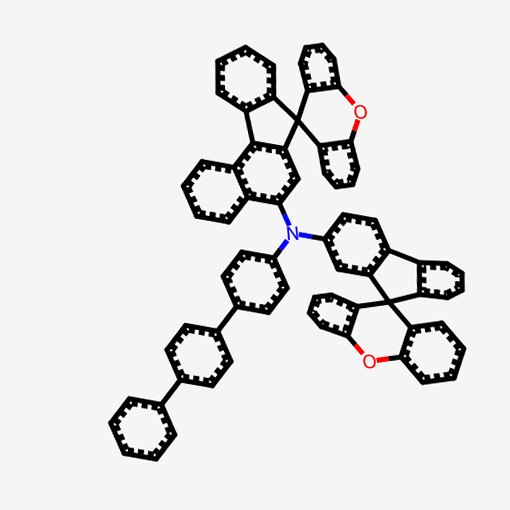 c1ccc(-c2ccc(-c3ccc(N(c4ccc5c(c4)C4(c6ccccc6Oc6ccccc64)c4ccccc4-5)c4cc5c(c6ccccc46)-c4ccccc4C54c5ccccc5Oc5ccccc54)cc3)cc2)cc1